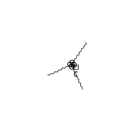 CCCCCCCCCCCC[O][Ti]([O]Cl)([O]CCCCCCCCCCCC)[O]CCCCCCCCCCCC